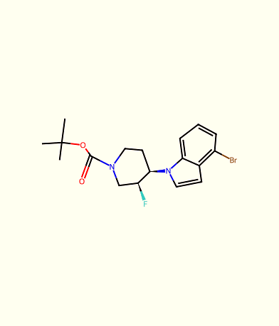 CC(C)(C)OC(=O)N1CC[C@@H](n2ccc3c(Br)cccc32)[C@@H](F)C1